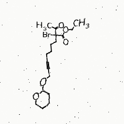 CCOC(=O)C(Br)(CCCCC#CCOC1CCCCO1)C(C)=O